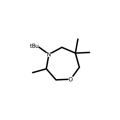 CC1COCC(C)(C)CN1C(C)(C)C